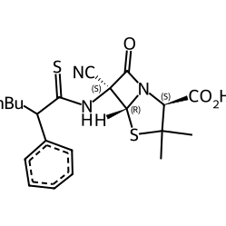 CCCCC(C(=S)N[C@@]1(C#N)C(=O)N2[C@@H](C(=O)O)C(C)(C)S[C@@H]21)c1ccccc1